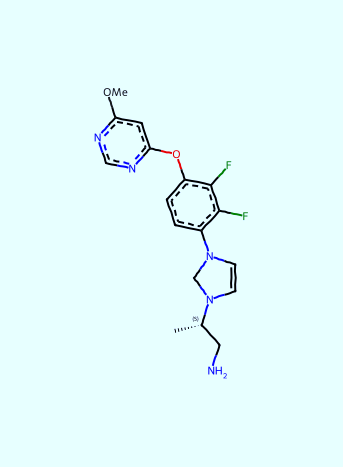 COc1cc(Oc2ccc(N3C=CN([C@@H](C)CN)C3)c(F)c2F)ncn1